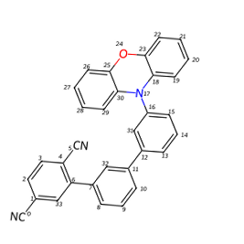 N#Cc1ccc(C#N)c(-c2cccc(-c3cccc(N4c5ccccc5Oc5ccccc54)c3)c2)c1